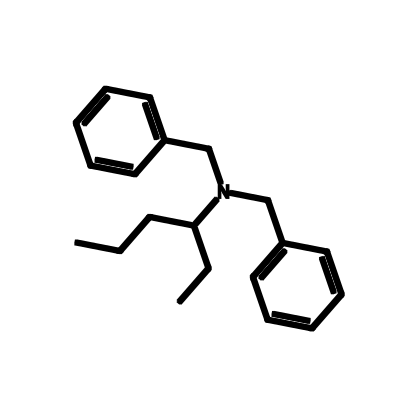 CCCC(CC)N(Cc1ccccc1)Cc1ccccc1